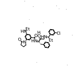 CCNc1cc(C(=O)N[C@@H](Cc2ccccc2)[C@H](O)CNC(CC)c2cccc(Cl)c2)cc(N2CCCC2=O)c1